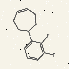 Fc1cccc(C2CCC=CCC2)c1F